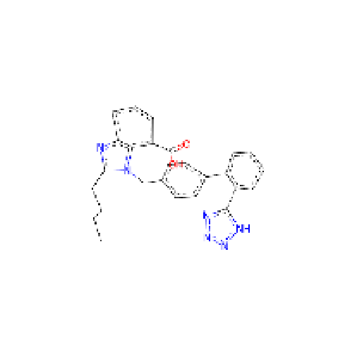 CCCCc1nc2cccc(C(=O)O)c2n1Cc1ccc(-c2ccccc2-c2nnn[nH]2)cc1